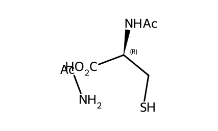 CC(=O)N[C@@H](CS)C(=O)O.CC(N)=O